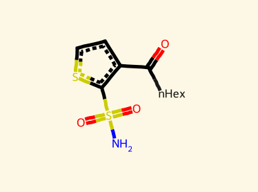 CCCCCCC(=O)c1ccsc1S(N)(=O)=O